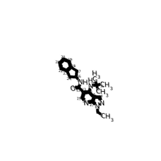 CCn1ncc2c(NC(C)(C)C)c(C(=O)NC3Cc4ccccc4C3)cnc21